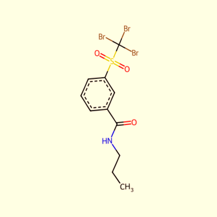 CCCNC(=O)c1cccc(S(=O)(=O)C(Br)(Br)Br)c1